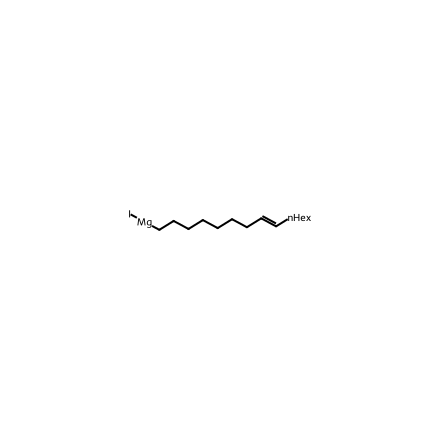 CCCCCCC=CCCCCCC[CH2][Mg][I]